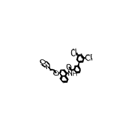 O=C(Nc1ccc(OCCN2CCOCC2)c2ccccc12)c1cccc(-c2cc(Cl)cc(Cl)c2)c1